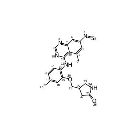 Cc1cc(N=S)cc2ncnc(Nc3ccc(F)cc3OCC3CNC(=O)C3)c12